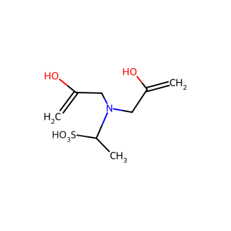 C=C(O)CN(CC(=C)O)C(C)S(=O)(=O)O